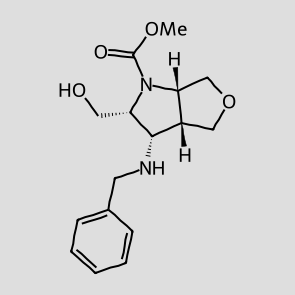 COC(=O)N1[C@@H]2COC[C@@H]2[C@H](NCc2ccccc2)[C@@H]1CO